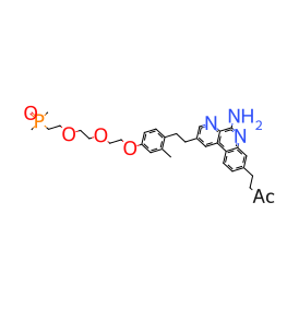 CC(=O)CCc1ccc2c(c1)nc(N)c1ncc(CCc3ccc(OCCOCCOCCP(C)(C)=O)cc3C)cc12